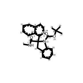 CNC(=O)C1(c2nccc3ccccc23)Cc2ccccc2N1C(=O)OC(C)(C)C